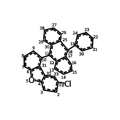 Clc1ccc2oc3cccc(-c4c5ccccc5c(-c5ccccc5)c5ccccc45)c3c2c1